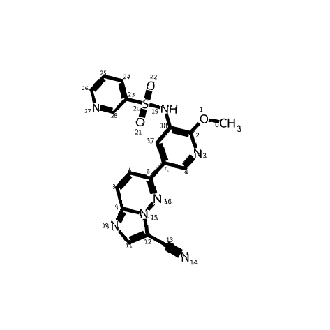 COc1ncc(-c2ccc3ncc(C#N)n3n2)cc1NS(=O)(=O)c1cccnc1